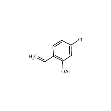 C=Cc1ccc(Cl)cc1OC(C)=O